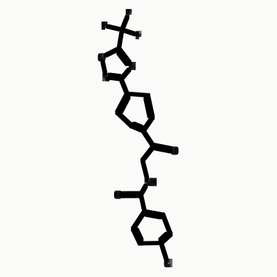 O=C(CNC(=O)c1ccc(Cl)cc1)c1ccc(-c2noc(C(F)(F)F)n2)cc1